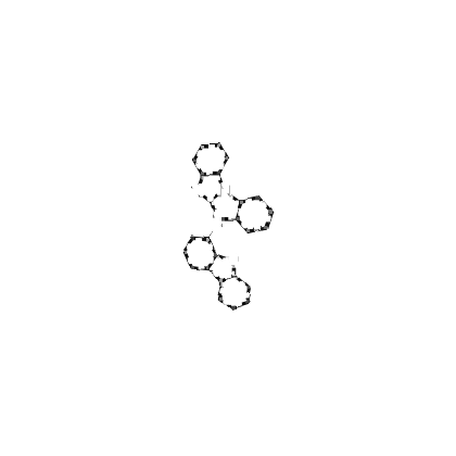 c1ccc2c(c1)nc1n(-c3cccc4c3oc3ccccc34)c3ccccc3n21